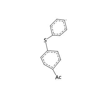 CC(=O)c1ccc(Sc2cc[c]cc2)cc1